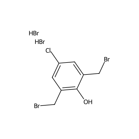 Br.Br.Oc1c(CBr)cc(Cl)cc1CBr